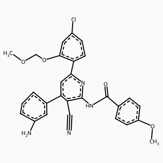 COCOc1cc(Cl)ccc1-c1cc(-c2cccc(N)c2)c(C#N)c(NC(=O)c2ccc(OC)cc2)n1